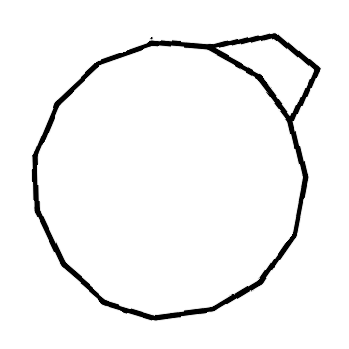 [CH]1CCCCCCCCCCCC2CCC1C2